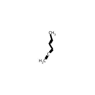 C=C=CC=CC